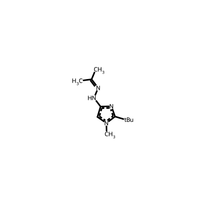 CC(C)=NNc1cn(C)c(C(C)(C)C)n1